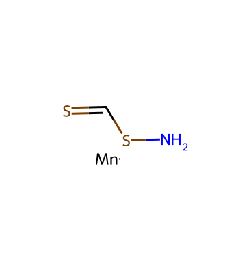 NSC=S.[Mn]